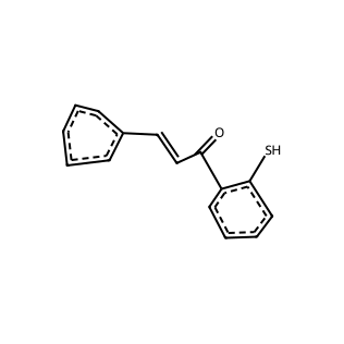 O=C(C=Cc1ccccc1)c1ccccc1S